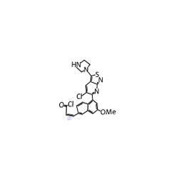 COc1cc(-c2nc3nsc(N4CCNCC4)c3cc2Cl)c2ccc(/C=C\C(=O)Cl)cc2c1